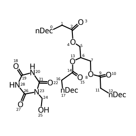 CCCCCCCCCCCC(=O)OCC(COC(=O)CCCCCCCCCCC)OC(=O)CCCCCCCCCCC.O=c1[nH]c(=O)n(CO)c(=O)[nH]1